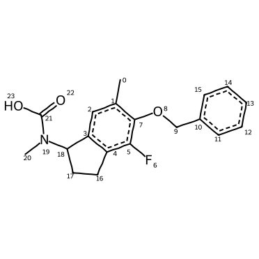 Cc1cc2c(c(F)c1OCc1ccccc1)CCC2N(C)C(=O)O